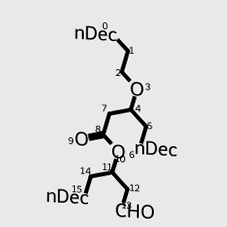 CCCCCCCCCCCCOC(CCCCCCCCCCC)CC(=O)OC(CC=O)CCCCCCCCCCC